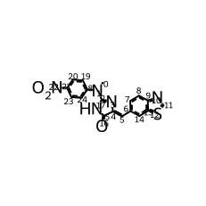 CN(C1=NC(=Cc2ccc3ncsc3c2)C(=O)N1)c1ccc([N+](=O)[O-])cc1